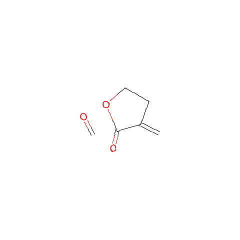 C=C1CCOC1=O.C=O